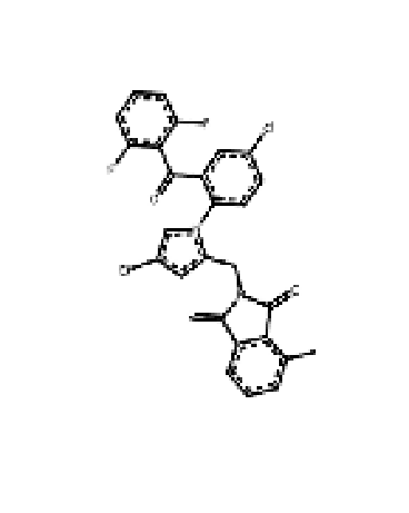 CCc1cc(CN2C(=O)c3c(C)cccc3C2=S)n(-c2ccc(Cl)cc2C(=O)c2c(F)cccc2F)c1